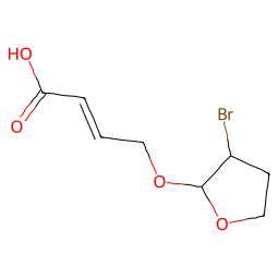 O=C(O)C=CCOC1OCCC1Br